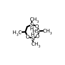 CC1C[SiH](C)O[SiH](C)O[SiH](C)O1